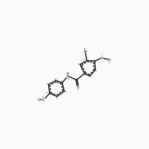 CCOc1ccc(C(=O)Nc2ccc(C=O)cc2)cc1Br